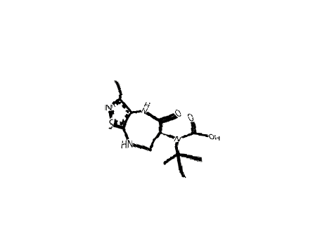 Cc1nsc2c1NC(=O)[C@@H](N(C(=O)O)C(C)(C)C)CN2